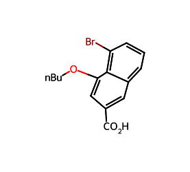 CCCCOc1cc(C(=O)O)cc2cccc(Br)c12